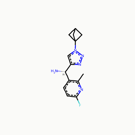 Cc1nc(F)ccc1[C@H](N)c1cn(C23CC(C2)C3)nn1